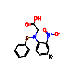 O=C(O)CN(Sc1ccccc1)c1ccccc1[N+](=O)[O-].[K]